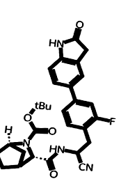 CC(C)(C)OC(=O)N1[C@@H]2CCC(C2)[C@H]1C(=O)NC(C#N)Cc1ccc(-c2ccc3c(c2)CC(=O)N3)cc1F